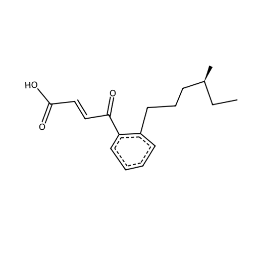 CC[C@H](C)CCCc1ccccc1C(=O)C=CC(=O)O